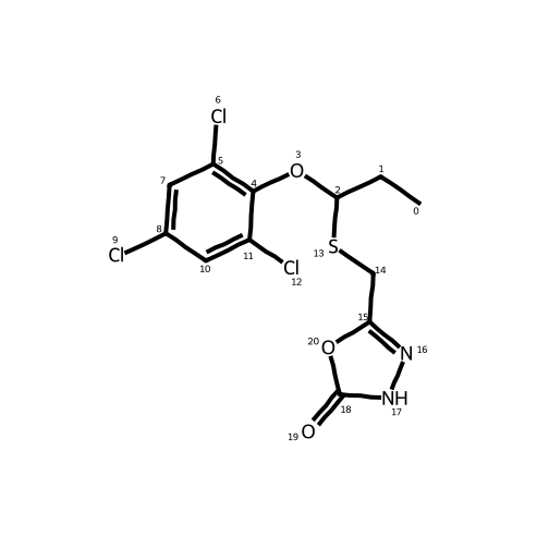 CCC(Oc1c(Cl)cc(Cl)cc1Cl)SCc1n[nH]c(=O)o1